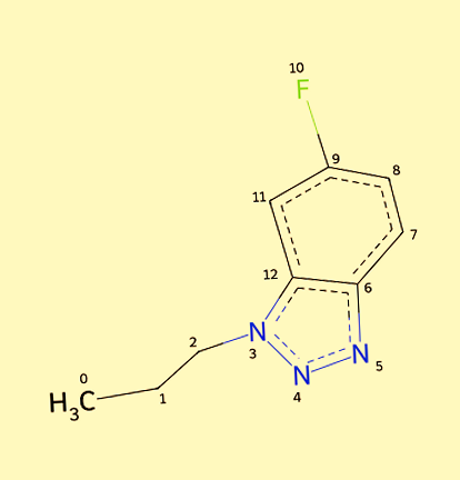 CCCn1nnc2ccc(F)cc21